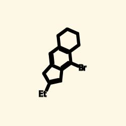 CCC1=Cc2c(cc3c(c2Br)CCCC3)C1